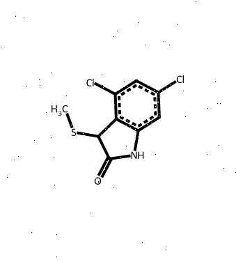 CSC1C(=O)Nc2cc(Cl)cc(Cl)c21